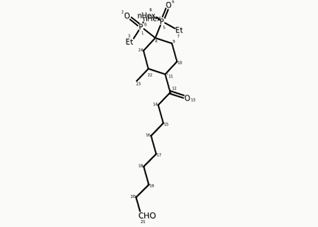 CCCCCCP(=O)(CC)C1(P(=O)(CC)CCCCCC)CC[C](C(=O)CCCCCCCC=O)C(C)C1